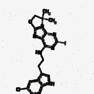 CC1(C)COc2nc3c(NCCc4c[nH]c5ccc(Cl)cc45)nc(I)nc3n21